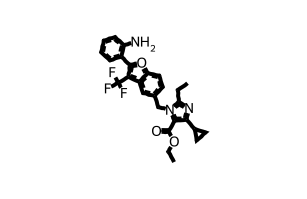 CCOC(=O)c1c(C2CC2)nc(CC)n1Cc1ccc2oc(-c3ccccc3N)c(C(F)(F)F)c2c1